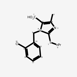 CCCSc1nc(C)c(C(=O)O)n1Cc1ccccc1Cl